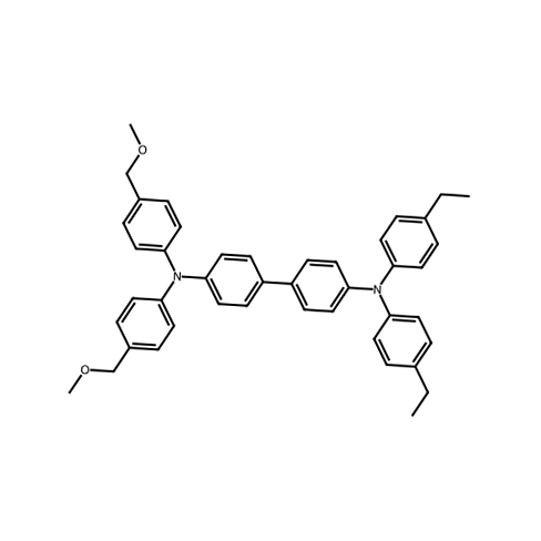 CCc1ccc(N(c2ccc(CC)cc2)c2ccc(-c3ccc(N(c4ccc(COC)cc4)c4ccc(COC)cc4)cc3)cc2)cc1